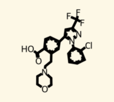 O=C(O)c1ccc(-c2cc(C(F)(F)F)nn2-c2ccccc2Cl)cc1CCN1CCOCC1